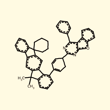 CC1(C)c2cc3c(cc2-c2c(C4=CCC(c5nc(-c6ccccc6)c6c(n5)oc5ccccc56)C=C4)cccc21)C1(CCCCC1)c1ccccc1-3